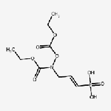 CCOC(=O)ON(C/C=C/P(=O)(O)O)C(=O)OCC